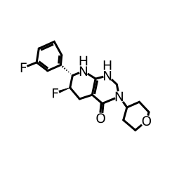 O=C1C2=C(NCN1C1CCOCC1)N[C@@H](c1cccc(F)c1)[C@H](F)C2